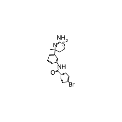 CC1(c2cccc(NC(=O)c3ccc(Br)cc3)c2)CCSC(N)=N1